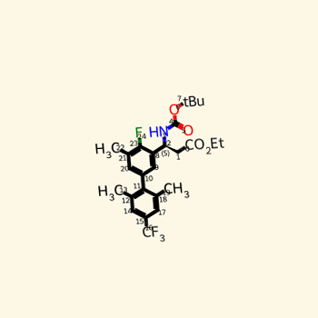 CCOC(=O)C[C@H](NC(=O)OC(C)(C)C)c1cc(-c2c(C)cc(C(F)(F)F)cc2C)cc(C)c1F